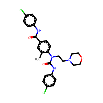 Cc1cc(C(=O)Nc2ccc(Cl)cc2)ccc1N(CCN1CCOCC1)C(=O)Nc1ccc(Cl)cc1